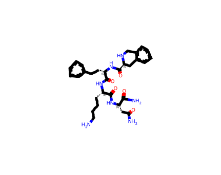 NCCCC[C@H](NC(=O)[C@H](CCc1ccccc1)NC(=O)[C@@H]1Cc2ccccc2CN1)C(=O)N[C@@H](CC(N)=O)C(N)=O